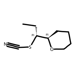 CC[C@@H](SC#N)[C@H]1CCCCO1